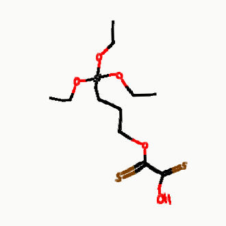 CCO[Si](CCCOC(=S)C(O)=S)(OCC)OCC